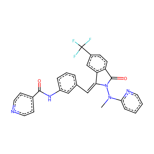 CN(c1ccccn1)N1C(=O)c2ccc(C(F)(F)F)cc2C1=Cc1cccc(NC(=O)c2ccncc2)c1